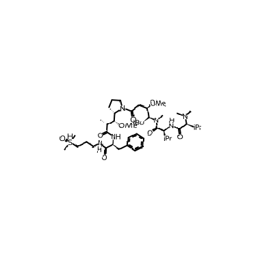 CC[C@H](C)[C@@H]([C@@H](CC(=O)N1CCC[C@H]1[C@H](OC)[C@@H](C)C(=O)N[C@@H](Cc1ccccc1)C(=O)NCCC[SH](C)(C)=O)OC)N(C)C(=O)[C@@H](NC(=O)[C@H](C(C)C)N(C)C)C(C)C